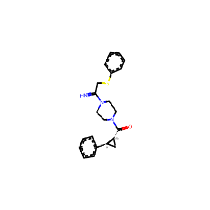 N=C(CSc1ccccc1)N1CCN(C(=O)[C@@H]2C[C@H]2c2ccccc2)CC1